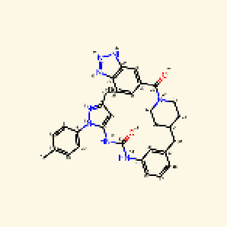 Cc1ccc(-n2nc(C(C)(C)C)cc2NC(=O)Nc2cccc(CC3CCN(C(=O)c4ccc5nn[nH]c5c4)CC3)c2)cc1